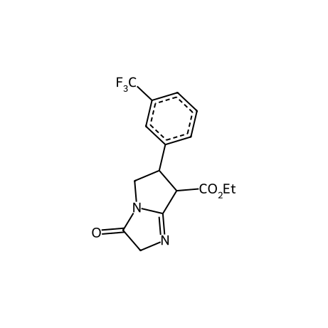 CCOC(=O)C1C2=NCC(=O)N2CC1c1cccc(C(F)(F)F)c1